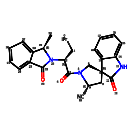 CC(C)C[C@@H](C(=O)N1C[C@]2(C[C@H]1C#N)C(=O)Nc1ccccc12)N1C(=O)c2ccccc2[C@H]1C